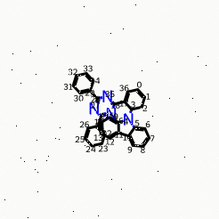 C1=CCC(n2c3ccccc3c3ccccc32)C(c2nc(C3=CCCC=C3)nc(-c3ccccc3)n2)=C1